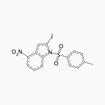 Cc1ccc(S(=O)(=O)n2c(I)cc3c([N+](=O)[O-])cccc32)cc1